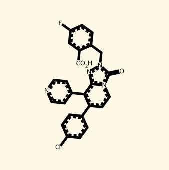 O=C(O)c1cc(F)ccc1Cn1nc2c(-c3ccncc3)c(-c3ccc(Cl)cc3)ccn2c1=O